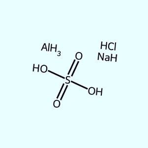 Cl.O=S(=O)(O)O.[AlH3].[NaH]